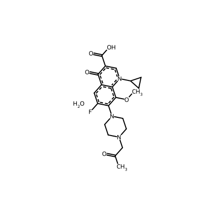 COc1c(N2CCN(CC(C)=O)CC2)c(F)cc2c(=O)c(C(=O)O)cn(C3CC3)c12.O